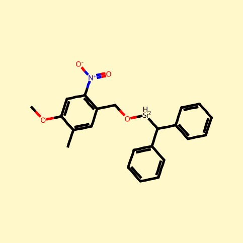 COc1cc([N+](=O)[O-])c(CO[SiH2]C(c2ccccc2)c2ccccc2)cc1C